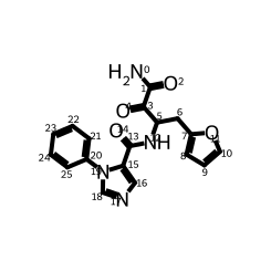 NC(=O)C(=O)C(Cc1ccco1)NC(=O)c1cncn1-c1ccccc1